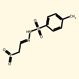 Cc1ccc(S(=O)(=O)N/N=C/CP(=O)=O)cc1